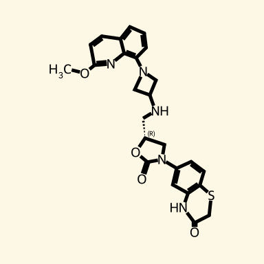 COc1ccc2cccc(N3CC(NC[C@@H]4CN(c5ccc6c(c5)NC(=O)CS6)C(=O)O4)C3)c2n1